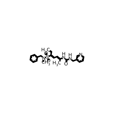 C=C/C(=C\C=C(/C)NC(=O)NCc1cccnc1)S(=O)(=O)N(C)Cc1ccccc1